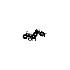 C[C@]12Cc3cnn(-c4ccc(F)cc4)c3C=C1CC[C@]2(F)[C@@H](O)c1csc2ccccc12